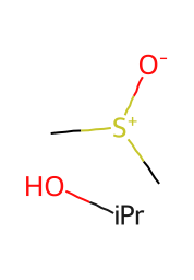 CC(C)O.C[S+](C)[O-]